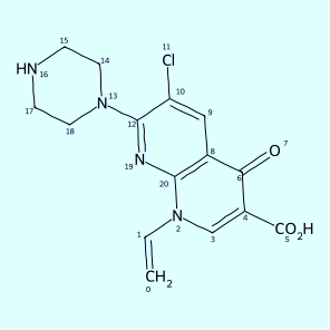 C=Cn1cc(C(=O)O)c(=O)c2cc(Cl)c(N3CCNCC3)nc21